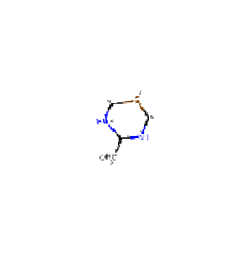 O=CC1NCSCN1